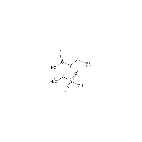 CCS(=O)(=O)O.NCCC(=O)O